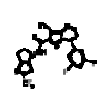 CC(C)c1c(C(=O)N[C@H]2CCc3sc(C(F)(F)F)cc32)sc2c(-c3cc(F)cc(F)c3)ccnc12